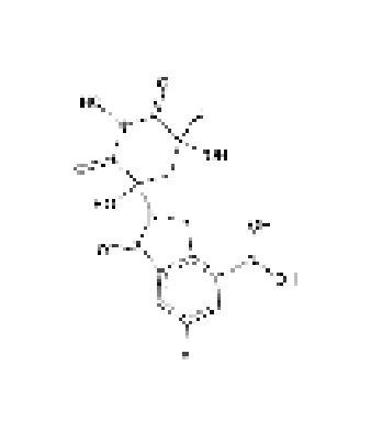 O=C1c2cc(F)cc(N(O)O)c2CN1C1(O)CC(O)(O)C(=O)N(O)C1=O